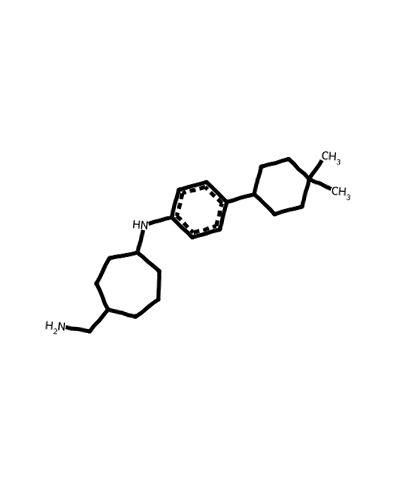 CC1(C)CCC(c2ccc(NC3CCCC(CN)CC3)cc2)CC1